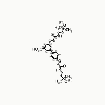 CCOC(C)(C)CCNC(=O)COc1ccc(-c2cc(OCC(=O)NCCC(C)(C)OCC)cc(C(=O)O)c2)cc1